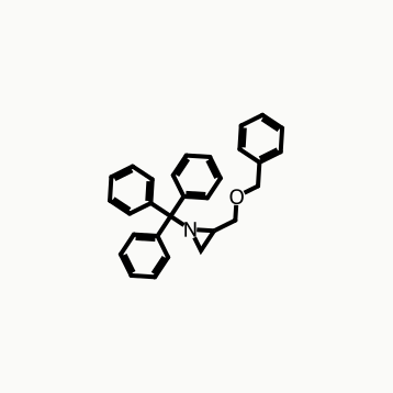 c1ccc(COCC2CN2C(c2ccccc2)(c2ccccc2)c2ccccc2)cc1